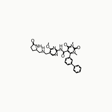 COc1nc(NC(=O)c2c(-c3cccc(-c4ccccc4)c3)n(C)c(=O)n(C)c2=O)ncc1CNCC1CCC(=O)N1